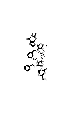 Cc1nc2c(ncn2[C@@H]2O[C@H](CO)[C@H](OP(=O)(O)OC[C@H]3O[C@@H](n4cnc(N)nc4=O)C(OCc4ccccc4)[C@H]3O)C2OCc2ccccc2)c(=O)[nH]1